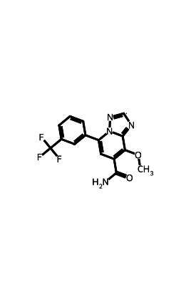 COc1c(C(N)=O)cc(-c2cccc(C(F)(F)F)c2)n2n[c]nc12